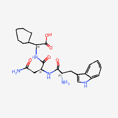 NC(=O)C[C@H](NC(=O)[C@@H](N)Cc1c[nH]c2ccccc12)C(=O)N[C@H](C(=O)O)C1CCCCC1